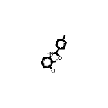 Cc1ccc(C(=O)Nc2cccc(Cl)c2F)cc1